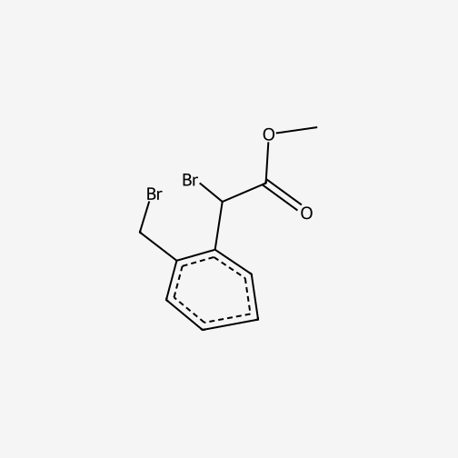 COC(=O)C(Br)c1ccccc1CBr